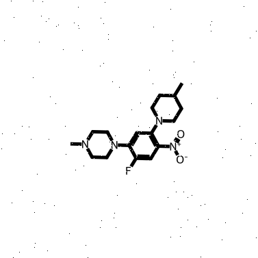 CC1CCN(c2cc(N3CCN(C)CC3)c(F)cc2[N+](=O)[O-])CC1